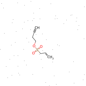 C#CCCOS(=O)(=O)CC=C